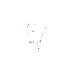 CN1CC(COC(=O)C(NCc2ccc(C(=O)O)s2)c2ccccc2)C1.COc1ccc([C@H](Cc2c(Cl)c[n+]([O-])cc2Cl)OC(=O)c2ccc(CNC(C(=O)OC[C@H]3CCCN(C)C3)c3ccccc3)s2)cc1OC